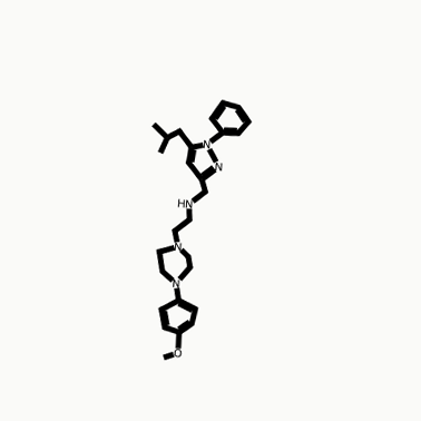 COc1ccc(N2CCN(CCNCc3cc(CC(C)C)n(-c4ccccc4)n3)CC2)cc1